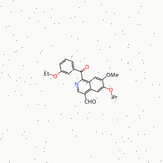 CCOc1cccc(C(=O)c2ncc(C=O)c3cc(OC(C)C)c(OC)cc23)c1